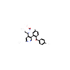 CCc1ccc(C(=O)c2ccc(C)cc2)c(-c2cnc(OC)cc2C(COC)NC(=O)OC(C)(C)C)c1